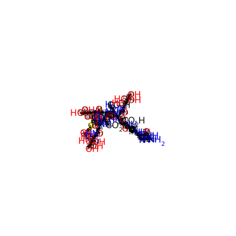 NC(=O)OCCSSC[C@@H](NC(=O)[C@H](CCC(=O)NC[C@H](O)C(O)[C@H](O)[C@H](O)CO)NC(=O)[C@@H](CCC(=O)O)NC(=O)[C@H](CCC(=O)NC[C@H](O)C[C@H](O)[C@H](O)CO)NC(=O)[C@@H](CCC(=O)O)NC(=O)[C@H](CCC(=O)NC[C@H](O)C[C@H](O)[C@H](O)CO)NC(=O)CC[C@@H](NC(=O)c1ccc(NCc2cnc3nc(N)[nH]c(=O)c3n2)cc1)C(=O)O)C(=O)O